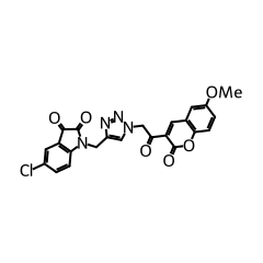 COc1ccc2oc(=O)c(C(=O)Cn3cc(CN4C(=O)C(=O)c5cc(Cl)ccc54)nn3)cc2c1